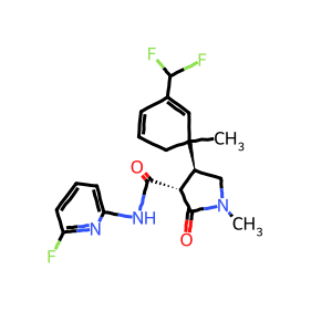 CN1C[C@H](C2(C)C=C(C(F)F)C=CC2)[C@@H](C(=O)Nc2cccc(F)n2)C1=O